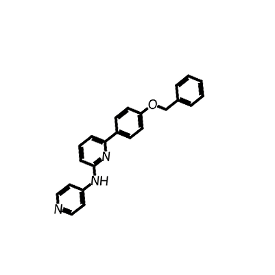 c1ccc(COc2ccc(-c3cccc(Nc4ccncc4)n3)cc2)cc1